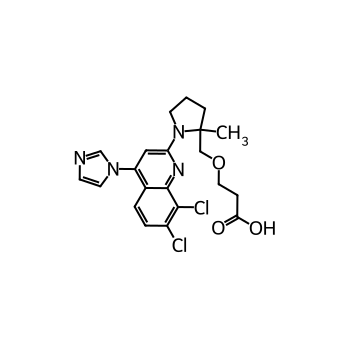 CC1(COCCC(=O)O)CCCN1c1cc(-n2ccnc2)c2ccc(Cl)c(Cl)c2n1